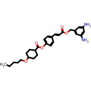 CCCCCOC1CCC(C(=O)Oc2ccc(/C=C/C(=O)OCc3cc(N)cc(N)c3)cc2)CC1